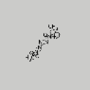 Cc1cc(NC(=O)c2cnc(N3CCN(S(C)(=O)=O)CC3)cn2)c2ncccc2c1